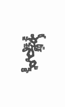 CCOC(=O)c1cc(Oc2ccc(C(C)C(O)(c3cc(C)c(=O)n(C)c3)C(F)(F)F)c(Cl)c2)ccc1Cl